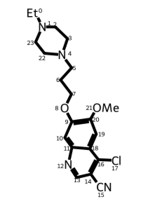 CCN1CCN(CCCOc2cc3ncc(C#N)c(Cl)c3cc2OC)CC1